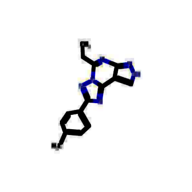 CCc1nc2n[nH]cc2c2nc(-c3ccc(C)cc3)nn12